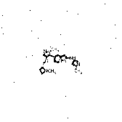 CN1CC[C@@H]1COc1cnn(C)c1-c1ccn2nc(Nc3cnn(C)c3)cc2c1